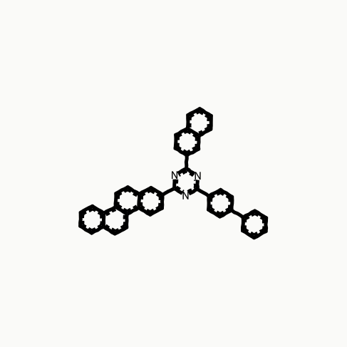 c1ccc(-c2ccc(-c3nc(-c4ccc5ccccc5c4)nc(-c4ccc5c(ccc6c7ccccc7ccc56)c4)n3)cc2)cc1